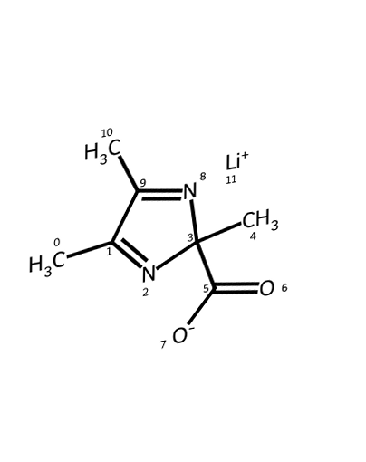 CC1=NC(C)(C(=O)[O-])N=C1C.[Li+]